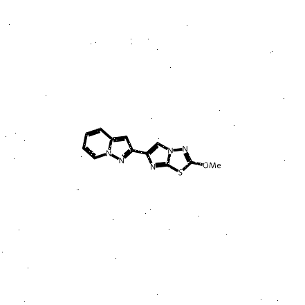 COc1nn2cc(-c3cc4ccccn4n3)nc2s1